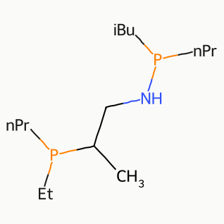 CCCP(CC)C(C)CNP(CCC)C(C)CC